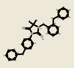 CC1(C)C(=O)N(c2ccc(Cc3ccccc3)cc2)C(=O)N1Cc1ccccc1Cc1ccccc1